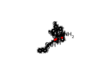 COc1ccc(C(OC[C@H]2O[C@](n3cnc4c(N)ncnc43)([SiH](c3ccccc3)c3ccccc3)[C@H](OCCCCCNC(=O)OCc3cccc4c3Cc3ccccc3-4)[C@@H]2OC(C)(C)C)(c2ccccc2)c2ccc(OC)cc2)cc1